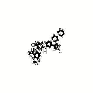 COc1cc(N2CCC(N3CCCCC3)CC2)c(-c2cnn(C)c2)cc1Nc1ncc(Cl)c(Nc2ccc3nccnc3c2P(C)(C)=O)n1